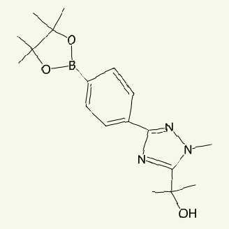 Cn1nc(-c2ccc(B3OC(C)(C)C(C)(C)O3)cc2)nc1C(C)(C)O